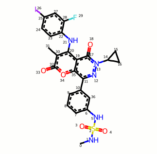 CNS(=O)(=O)Nc1cccc(-c2nn(C3CC3)c(=O)c3c(Nc4ccc(I)cc4F)c(C)c(=O)oc23)c1